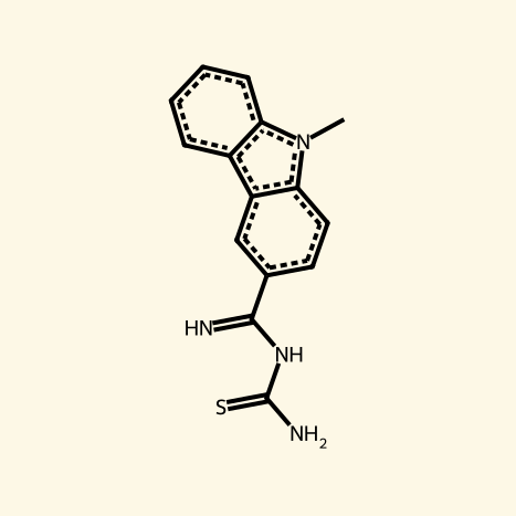 Cn1c2ccccc2c2cc(C(=N)NC(N)=S)ccc21